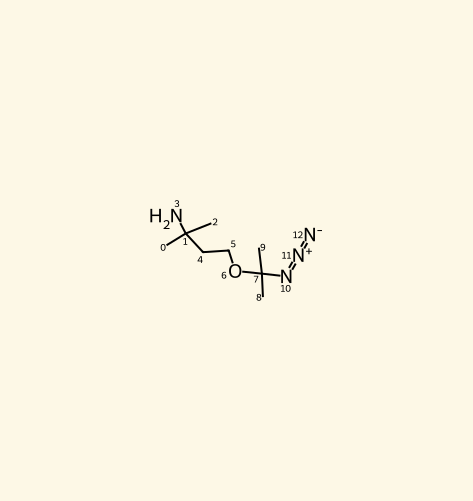 CC(C)(N)CCOC(C)(C)N=[N+]=[N-]